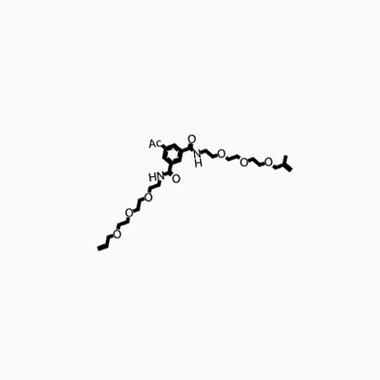 C=CCOCCOCCOCCNC(=O)c1cc(C(C)=O)cc(C(=O)NCCOCCOCCOCC(=C)C)c1